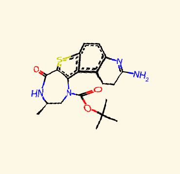 C[C@@H]1CN(C(=O)OC(C)(C)C)c2c(sc3ccc4c(c23)CCC(N)=N4)C(=O)N1